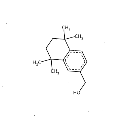 CC1(C)CCC(C)(C)c2cc(CO)ccc21